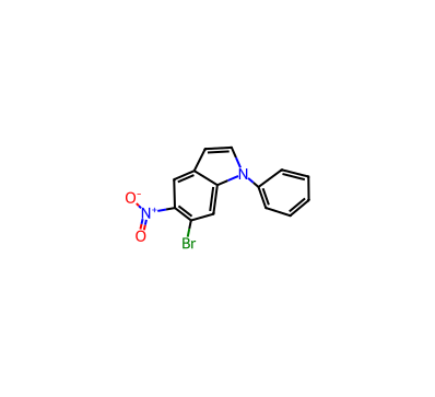 O=[N+]([O-])c1cc2ccn(-c3ccccc3)c2cc1Br